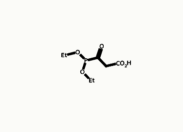 CCOP(OCC)C(=O)CC(=O)O